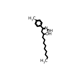 CCCCCCCCCC(O)CC(=NO)c1ccc(C)cc1